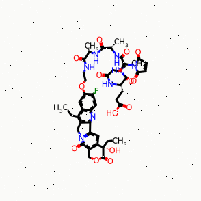 CCc1c2c(nc3cc(F)c(OCCNC(=O)[C@H](C)NC(=O)[C@H](C)NC(=O)[C@H](C)NC(=O)[C@H](CCC(=O)O)NC(=O)CCCN4C(=O)C=CC4=O)cc13)-c1cc3c(c(=O)n1C2)COC(=O)[C@]3(O)CC